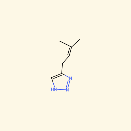 CC(C)=CCc1c[nH]nn1